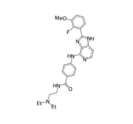 CCN(CC)CCNC(=O)c1ccc(Nc2nccc3[nH]c(-c4cccc(OC)c4F)nc23)cc1